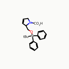 CC(C)(C)[Si](OCC1C=CCN1C(=O)O)(c1ccccc1)c1ccccc1